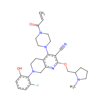 C=CC(=O)N1CCN(c2c(C#N)c(OCC3CCCN3C)nc3c2CCN(c2c(O)cccc2F)C3)CC1